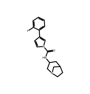 O=C(NC1CC2CCN(C2)C1)n1ccc(-c2ccccc2F)c1